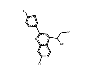 OC(CBr)c1cc(-c2ccc(Cl)cc2)nc2cc(Cl)ccc12